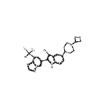 [2H]C([2H])([2H])c1cc(-c2[nH]c3ccc(C4CCN(C5COC5)CC4)cc3c2C(C)C)cn2ncnc12